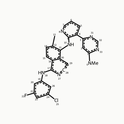 CNc1cc(-c2cccnc2Nc2c(C)ccc3c(Nc4cc(F)cc(Cl)c4)nccc23)ncn1